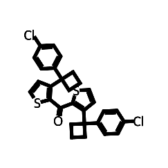 O=C(c1sccc1C1(c2ccc(Cl)cc2)CCC1)c1sccc1C1(c2ccc(Cl)cc2)CCC1